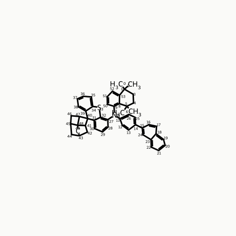 CC1(C)CCC(C)(C)c2c(N(c3ccc(-c4ccc5ccccc5c4)cc3)c3cccc4c3Sc3ccccc3C43C4CC5CC6CC3C64C5)cccc21